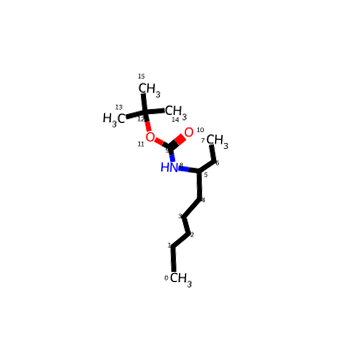 CCCCCC(CC)NC(=O)OC(C)(C)C